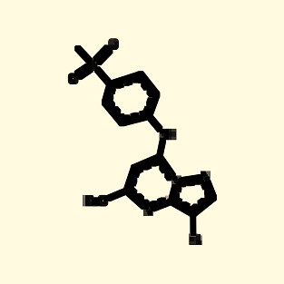 CCc1cnn2c(Nc3ccc(S(C)(=O)=O)cc3)cc(OCC(C)C)nc12